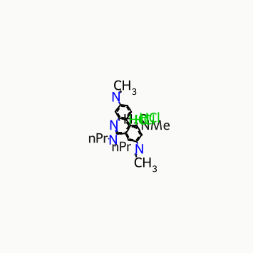 CC=Nc1ccc2c(c1)nc(N(CCC)CCC)c1cc(N=CC)ccc12.CNC.Cl.Cl.Cl